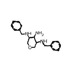 NC1C(NCc2ccccc2)COC[C@H]1NCc1ccccc1